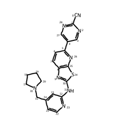 N#Cc1ncc(-c2ccc3nc(Nc4cc(CN5CCCC5)ccn4)sc3n2)cn1